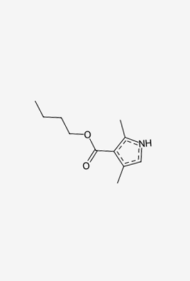 CCCCOC(=O)c1c(C)c[nH]c1C